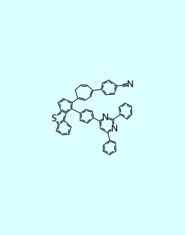 N#Cc1ccc(C2=CC=C(c3ccc4sc5ccccc5c4c3-c3ccc(-c4cc(-c5ccccc5)nc(-c5ccccc5)n4)cc3)CC=C2)cc1